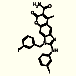 Cc1c(C(N)=O)c(=O)oc2cc3c(cc12)nc(Nc1cccc(I)c1)n3Cc1cccc(I)c1